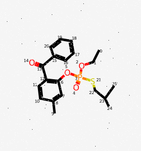 CCOP(=O)(Oc1cc(C)ccc1C(=O)c1ccccc1)SCC(C)C